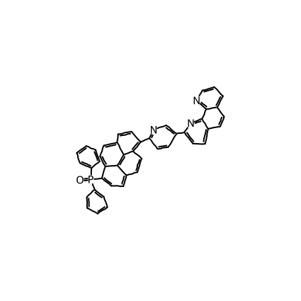 O=P(c1ccccc1)(c1ccccc1)c1ccc2ccc3c(-c4ccc(-c5ccc6ccc7cccnc7c6n5)cn4)ccc4ccc1c2c43